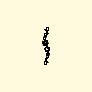 c1cc(-c2ccc(OCOCC3CO3)nn2)ccc1OCOCC1CO1